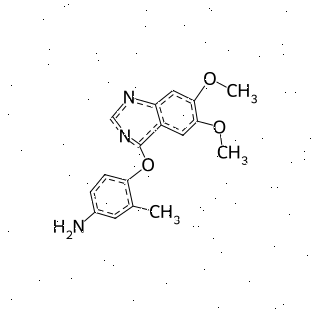 COc1cc2ncnc(Oc3ccc(N)cc3C)c2cc1OC